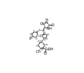 O=C1NC(=O)C(=C(Cc2ccc(F)cc2)c2ccc(-c3ccc(Cl)c(C(=O)O)c3)o2)N1